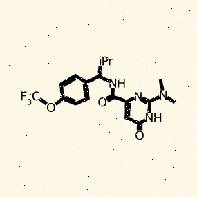 CC(C)C(NC(=O)c1cc(=O)[nH]c(N(C)C)n1)c1ccc(OC(F)(F)F)cc1